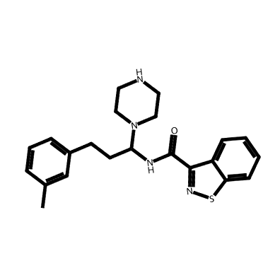 Cc1cccc(CCC(NC(=O)c2nsc3ccccc23)N2CCNCC2)c1